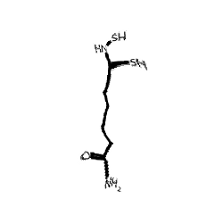 NC(=O)CCCCC(S)NS